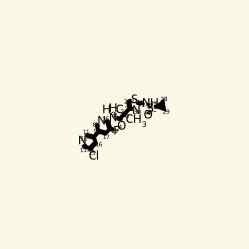 CC(C)(C(=O)Nc1ncc(-c2cncc(Cl)c2)cc1F)c1csc(N[S+]([O-])C2CC2)n1